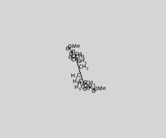 COC(=O)CCC(=O)OC1CC(C)(C)C(/C=C/C(C)=C/C=C/C(C)=C/C=C/C=C(C)/C=C/C=C(C)/C=C/C2=C(C)C(=O)C(OC(=O)CCC(=O)OC)CC2(C)C)=C(C)C1=O